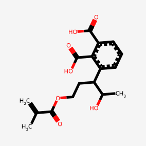 C=C(C)C(=O)OCCC(c1cccc(C(=O)O)c1C(=O)O)C(C)O